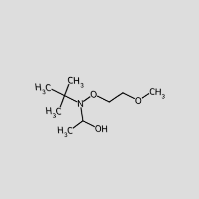 COCCON(C(C)O)C(C)(C)C